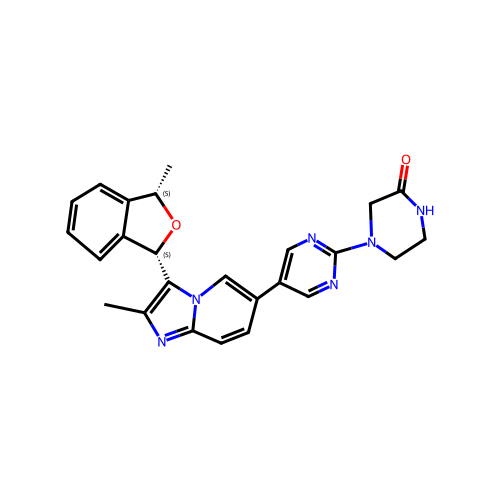 Cc1nc2ccc(-c3cnc(N4CCNC(=O)C4)nc3)cn2c1[C@H]1O[C@@H](C)c2ccccc21